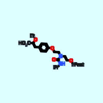 CCCCCOCCN(CCOc1ccc(CC(OCC)C(=O)O)cc1)C(=O)NC(C)C